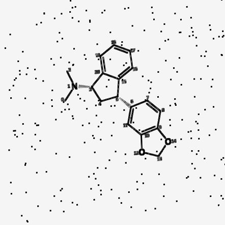 CN(C)[C@H]1C[C@@H](c2ccc3c(c2)OCO3)c2ccccc21